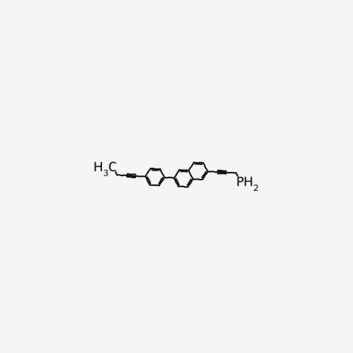 CCC#Cc1ccc(-c2ccc3cc(C#CCP)ccc3c2)cc1